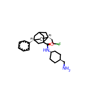 NC[C@H]1CC[C@H](NC(=O)C23CC4C[C@](c5ccccc5)(C2)C[C@@]3(CCF)C4)CC1